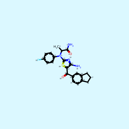 CC(C(N)=O)N(c1ccc(F)cc1)c1nc(N)c(C(=O)c2ccc3c(c2)CCC3)s1